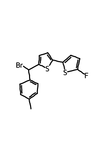 Cc1ccc(C(Br)c2ccc(-c3ccc(F)s3)s2)cc1